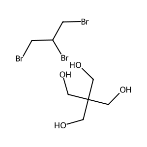 BrCC(Br)CBr.OCC(CO)(CO)CO